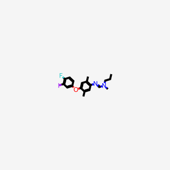 CCCN(C)/C=N/c1cc(C)c(Oc2ccc(F)c(I)c2)cc1C